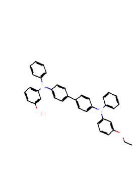 CCOc1cccc(N(c2ccccc2)c2ccc(-c3ccc(N(c4ccccc4)c4cccc(O)c4)cc3)cc2)c1